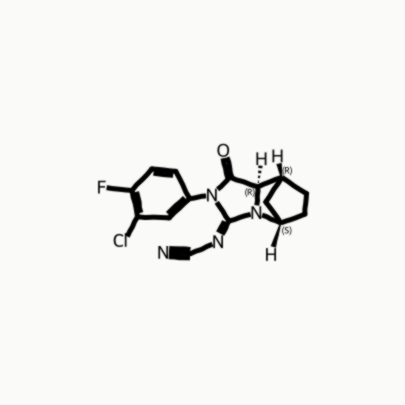 N#CN=C1N(c2ccc(F)c(Cl)c2)C(=O)[C@H]2[C@@H]3CC[C@@H](C3)N12